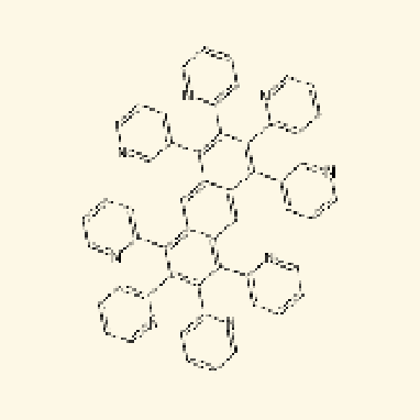 c1ccc(-c2c(-c3ccccn3)c(-c3cccnc3)c3cc4c(-c5ccccn5)c(-c5ccccn5)c(-c5ccccn5)c(-c5ccccn5)c4cc3c2-c2cccnc2)nc1